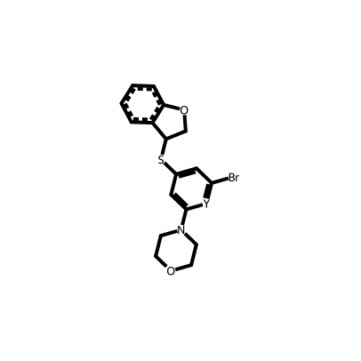 Br[C]1=[Y][C](N2CCOCC2)=CC(SC2COc3ccccc32)=C1